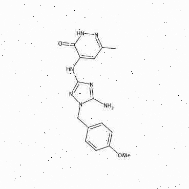 COc1ccc(Cn2nc(Nc3cc(C)n[nH]c3=O)nc2N)cc1